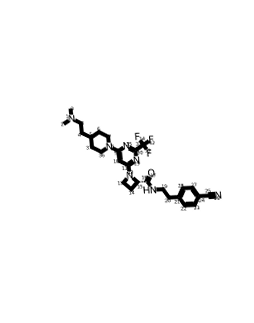 CN(C)CCC1CCN(c2cc(N3CC[C@H]3C(=O)NCCc3ccc(C#N)cc3)nc(C(F)(F)F)n2)CC1